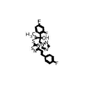 C[C@@H](Sc1nc(C=Cc2ccc(F)cc2)ns1)C(O)(Cn1cncn1)c1ccc(F)cc1F